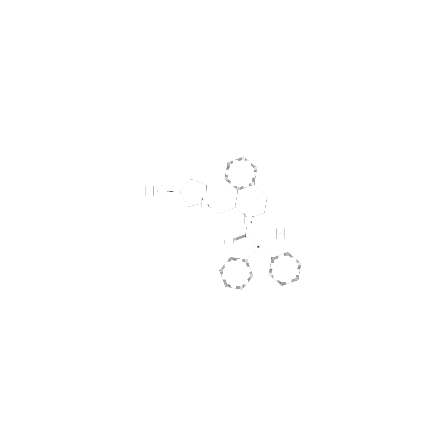 CC(C(=O)N1CCc2ccccc2C1CN1CC[C@H](O)C1)(c1ccccc1)c1ccccc1